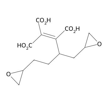 O=C(O)C(C(=O)O)=C(C(=O)O)C(CCC1CO1)CC1CO1